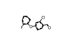 O=Cc1ccc(Oc2ccccc2F)cc1Cl